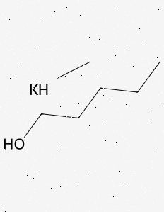 CC.CCCCCO.[KH]